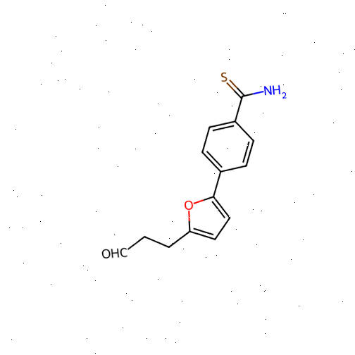 NC(=S)c1ccc(-c2ccc(CCC=O)o2)cc1